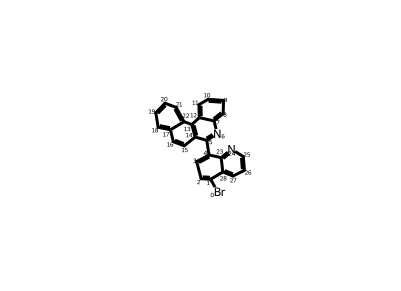 Brc1ccc(-c2nc3ccccc3c3c2ccc2ccccc23)c2ncccc12